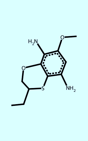 CCC1COc2c(N)c(OC)cc(N)c2S1